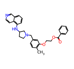 Cc1ccc(CN2CCC(Nc3cccc4cnccc34)C2)cc1OCCOC(=O)c1ccccc1